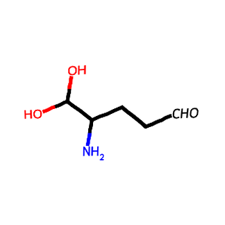 NC(CCC=O)C(O)O